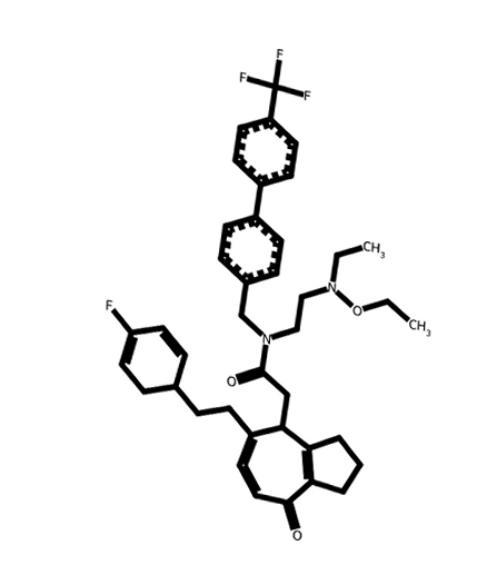 CCON(CC)CCN(Cc1ccc(-c2ccc(C(F)(F)F)cc2)cc1)C(=O)CC1C(CCC2C=CC(F)=CC2)=C=CC(=O)C2=C1CCC2